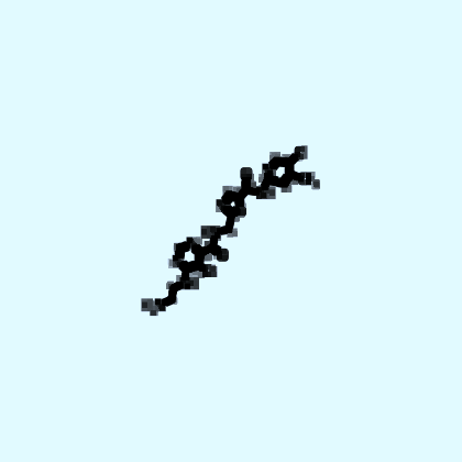 CCc1c(NCCN)ncnc1C(=O)NCc1ncc(C(=O)Nc2cc(C(F)(F)F)c(Cl)cn2)s1